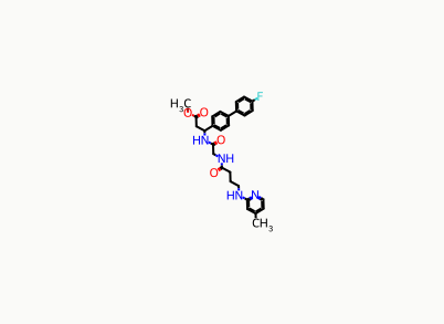 COC(=O)CC(NC(=O)CNC(=O)CCCNc1cc(C)ccn1)c1ccc(-c2ccc(F)cc2)cc1